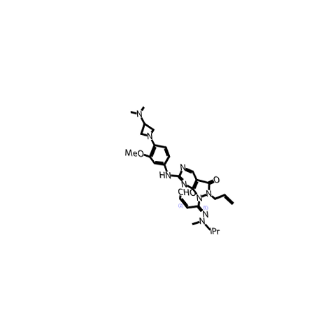 C=CCn1c(=O)c2cnc(Nc3ccc(N4CC(N(C)C)C4)c(OC)c3)nc2n1C(/C=C\C=O)=N/N(C)C(C)C